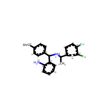 COc1ccc(C(NC(C)c2ccc(F)c(F)c2)c2ccccc2N)cc1